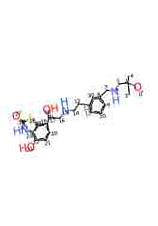 COC(C)(C)CNCc1cccc(CCNC[C@H](O)c2ccc(O)c3[nH]c(=O)sc23)c1